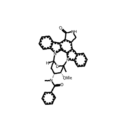 CO[C@@H]1[C@H](N(C)C(=O)c2ccccc2)C[C@H]2OC1(C)n1c3ccccc3c3c4c(c5c6ccccc6n2c5c31)C(=O)NC4